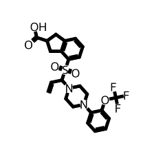 C=CC(N1CCN(c2ccccc2OC(F)(F)F)CC1)S(=O)(=O)c1cccc2c1CC(C(=O)O)C2